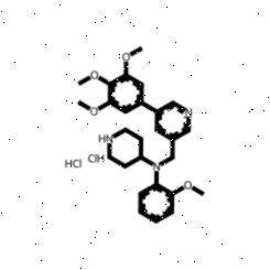 COc1ccccc1N(Cc1cncc(-c2cc(OC)c(OC)c(OC)c2)c1)C1CCNCC1.Cl.Cl